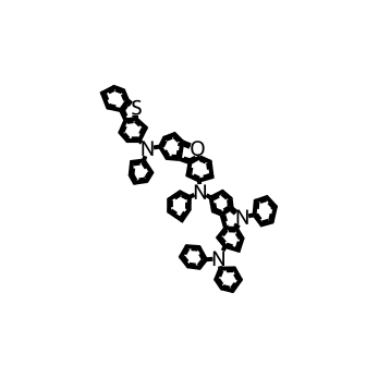 c1ccc(N(c2ccc3c(c2)sc2ccccc23)c2ccc3oc4ccc(N(c5ccccc5)c5ccc6c(c5)c5cc(N(c7ccccc7)c7ccccc7)ccc5n6-c5ccccc5)cc4c3c2)cc1